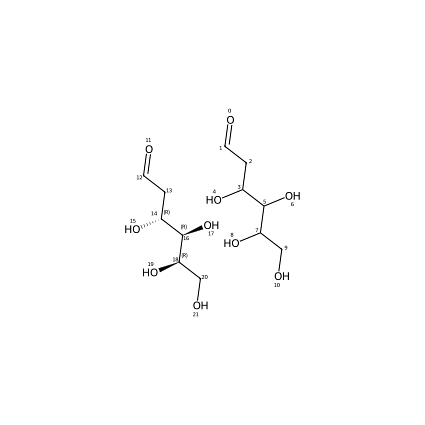 O=CCC(O)C(O)C(O)CO.O=CC[C@@H](O)[C@@H](O)[C@H](O)CO